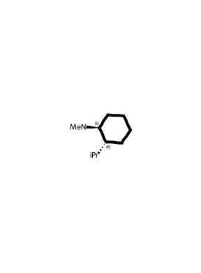 CN[C@H]1CCCC[C@@H]1C(C)C